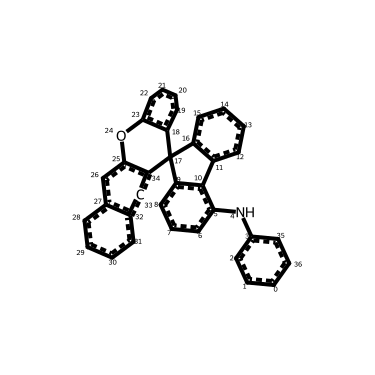 c1ccc(Nc2cccc3c2-c2ccccc2C32c3ccccc3Oc3cc4ccccc4cc32)cc1